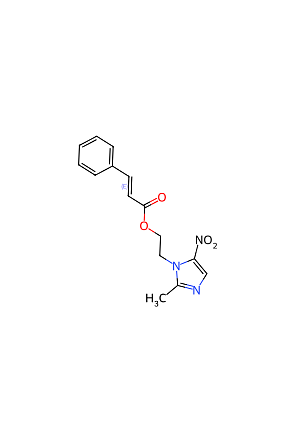 Cc1ncc([N+](=O)[O-])n1CCOC(=O)/C=C/c1ccccc1